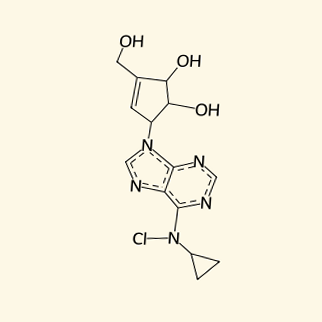 OCC1=CC(n2cnc3c(N(Cl)C4CC4)ncnc32)C(O)C1O